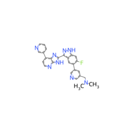 CN(C)Cc1cncc(-c2cc3c(-c4nc5c(-c6cccnc6)ccnc5[nH]4)n[nH]c3cc2F)c1